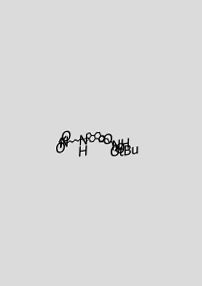 CC(C)(C)OC(=O)NCCCOc1ccc2c(c1)CCC1C2CC[C@@]2(C)C1CC[C@@H]2NCCCCCCN1C(=O)C=CC1=O